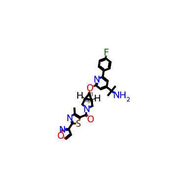 Cc1nc(-c2ccon2)sc1C(=O)N1C[C@@H]2[C@H](C1)[C@@H]2Oc1cc(C(C)(C)N)cc(-c2ccc(F)cc2)n1